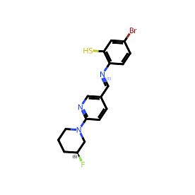 F[C@H]1CCCN(c2ccc(/C=N/c3ccc(Br)cc3S)cn2)C1